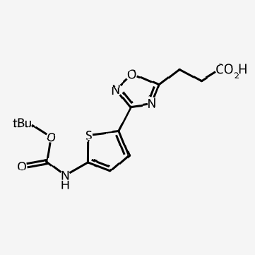 CC(C)(C)OC(=O)Nc1ccc(-c2noc(CCC(=O)O)n2)s1